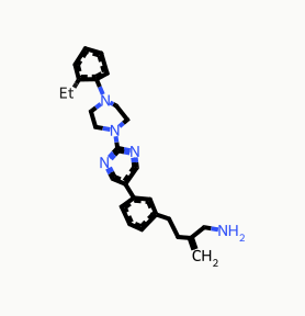 C=C(CN)CCc1cccc(-c2cnc(N3CCN(c4ccccc4CC)CC3)nc2)c1